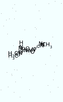 CC(C)Oc1ccc(-c2n[nH]c3ccc(N4CC[C@]5(CCN(CC(=O)N6CC=C(c7ccc(-c8ncn(C)n8)cc7)CC6)C5)C4=O)c(F)c23)cn1